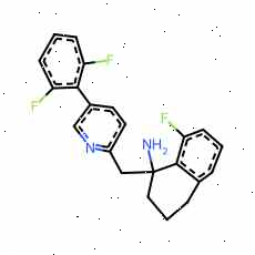 NC1(Cc2ccc(-c3c(F)cccc3F)cn2)CCCc2cccc(F)c21